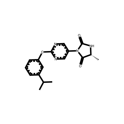 CC(C)c1cccc(Oc2ncc(N3C(=O)N[C@H](C)C3=O)cn2)c1